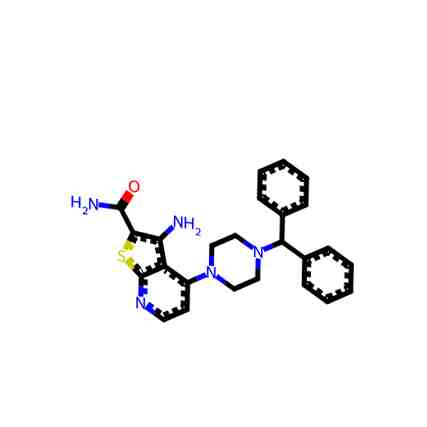 NC(=O)c1sc2nccc(N3CCN(C(c4ccccc4)c4ccccc4)CC3)c2c1N